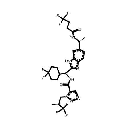 C[C@@H](NC(=O)CCC(F)(F)F)c1ccc2nc([C@@H](NC(=O)c3cnnn3C[C@H](C)C(F)(F)F)C3CCC(F)(F)CC3)[nH]c2c1